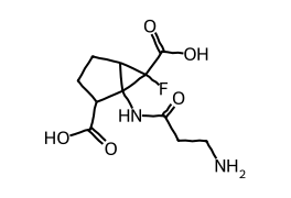 NCCC(=O)NC12C(C(=O)O)CCC1C2(F)C(=O)O